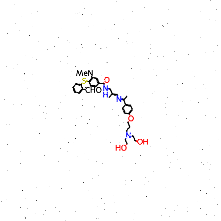 CNc1cc(C(=O)NC/C(C)=C/N=C(\C)c2ccc(OCCCN(CCO)CCO)cc2)ccc1Sc1ccccc1C=O